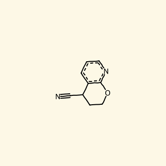 N#CC1CCOc2ncccc21